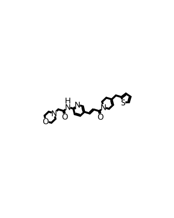 O=C(CN1CCOCC1)Nc1ccc(/C=C/C(=O)N2CC=C(Cc3cccs3)CC2)cn1